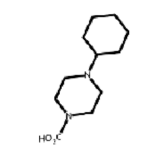 O=C(O)N1CCN([C]2CCCCC2)CC1